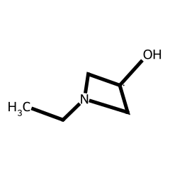 CCN1C[C](O)C1